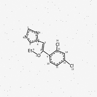 CCOC(=Cn1cncn1)c1ccc(Cl)cc1Cl